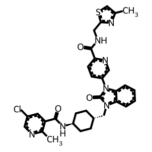 Cc1csc(CNC(=O)c2ccc(-n3c(=O)n(C[C@H]4CC[C@H](NC(=O)c5cc(Cl)cnc5C)CC4)c4ccccc43)cn2)n1